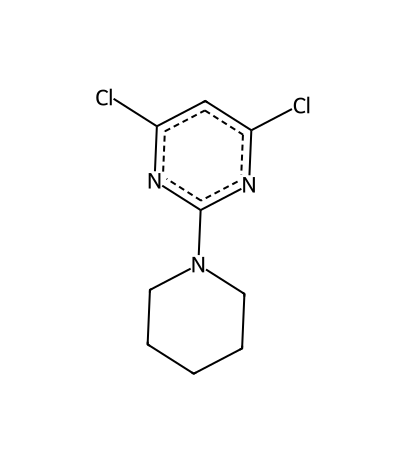 Clc1cc(Cl)nc(N2CCCCC2)n1